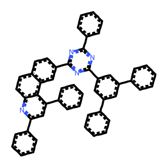 c1ccc(-c2cc(-c3ccccc3)cc(-c3nc(-c4ccccc4)nc(-c4ccc5ccc6nc(-c7ccccc7)cc(-c7ccccc7)c6c5c4)n3)c2)cc1